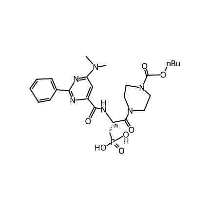 CCCCOC(=O)N1CCN(C(=O)[C@H](CP(=O)(O)O)NC(=O)c2cc(N(C)C)nc(-c3ccccc3)n2)CC1